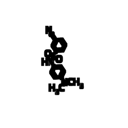 CN(C)c1ccc(NS(=O)(=O)c2cccc(C#N)c2)cc1